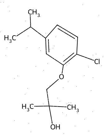 CC(C)c1ccc(Cl)c(OCC(C)(C)O)c1